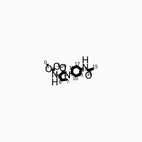 COC(=O)N[C@H]1CCN([C@H]2CC[C@H](NC(C)=O)CC2)C1=O